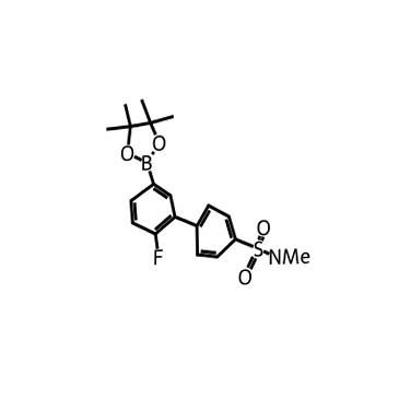 CNS(=O)(=O)c1ccc(-c2cc(B3OC(C)(C)C(C)(C)O3)ccc2F)cc1